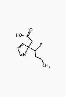 CCCC(F)C1(CC(=O)O)C=CC=N1